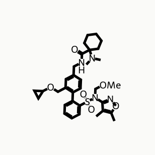 COCN(c1noc(C)c1C)S(=O)(=O)c1ccccc1-c1ccc(CNC(=O)C2(N(C)C)CCCCC2)cc1COC1CC1